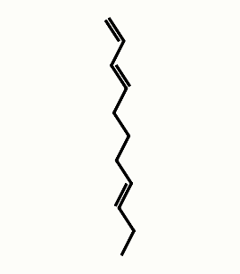 C=CC=CCCCC=CCC